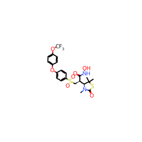 CN1C(=O)SC(C)(C)[C@@H]1[C@@H](CS(=O)(=O)c1ccc(Oc2ccc(OC(F)(F)F)cc2)cc1)C(=O)NO